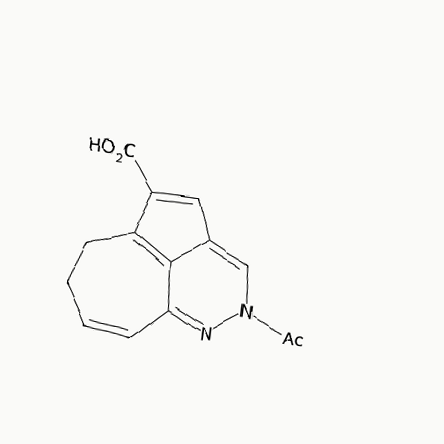 CC(=O)n1cc2cc(C(=O)O)c3c-2c(n1)C=CCC3